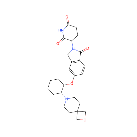 O=C1CCC(N2Cc3cc(O[C@H]4CCCC[C@H]4N4CCC5(CC4)COC5)ccc3C2=O)C(=O)N1